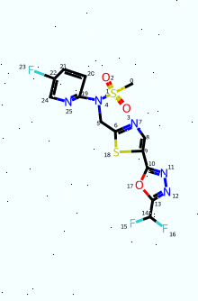 CS(=O)(=O)N(Cc1ncc(-c2nnc(C(F)F)o2)s1)c1ccc(F)cn1